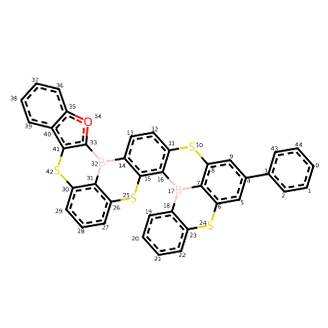 c1ccc(-c2cc3c4c(c2)Sc2ccc5c(c2B4c2ccccc2S3)Sc2cccc3c2B5c2oc4ccccc4c2S3)cc1